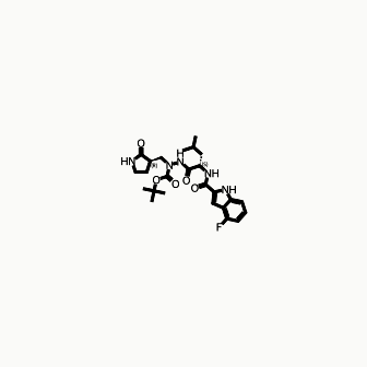 CC(C)C[C@H](NC(=O)c1cc2c(F)cccc2[nH]1)C(=O)NN(C[C@H]1CCNC1=O)C(=O)OC(C)(C)C